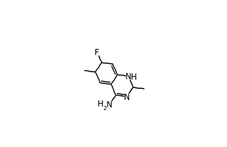 CC1N=C(N)C2=CC(C)C(F)C=C2N1